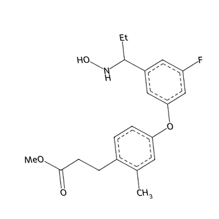 CCC(NO)c1cc(F)cc(Oc2ccc(CCC(=O)OC)c(C)c2)c1